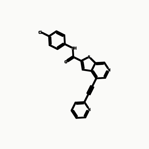 O=C(Nc1ccc(Cl)cc1)c1cc2c(C#Cc3ccccn3)cncc2s1